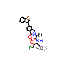 CC[C@@H](C(=O)NC(CC(=O)O)C(=O)CF)N1Cc2cc(-c3csc4ccccc34)ccc2C1=O